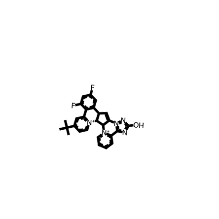 CC(C)(C)c1cc[n+]2c(c1)-c1c(F)cc(F)cc1C1C=C3C(C12)[n+]1ccccc1-c1nc(O)nn13